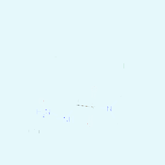 CC(C)(C)[S@+]([O-])N[C@H](Cc1cc(F)c(F)cc1F)C1CC2CCC(C1)N2S(=O)(=O)CCN